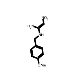 COc1ccc(CNC(N)=C[N+](=O)[O-])cc1